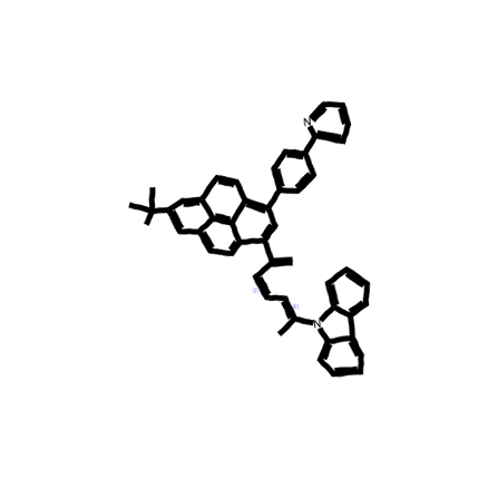 C=C(/C=C\C=C(/C)n1c2ccccc2c2ccccc21)c1cc(-c2ccc(-c3ccccn3)cc2)c2ccc3cc(C(C)(C)C)cc4ccc1c2c43